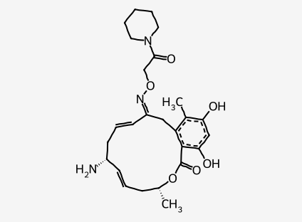 Cc1c(O)cc(O)c2c1CC(=N\OCC(=O)N1CCCCC1)/C=C/C[C@@H](N)/C=C/C[C@@H](C)OC2=O